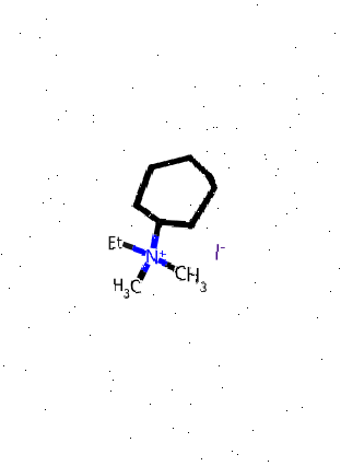 CC[N+](C)(C)C1CCCCC1.[I-]